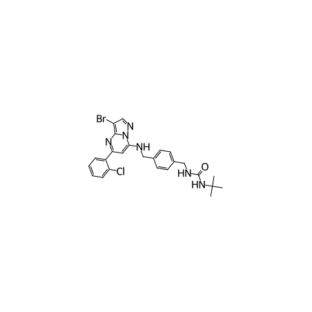 CC(C)(C)NC(=O)NCc1ccc(CNc2cc(-c3ccccc3Cl)nc3c(Br)cnn23)cc1